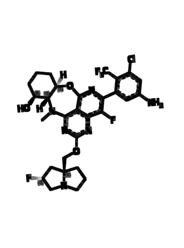 CN1c2nc(OC[C@@]34CCCN3C[C@H](F)C4)nc3c(F)c(-c4cc(N)cc(Cl)c4C(F)(F)F)nc(c23)O[C@@H]2CCC[C@H](O)[C@H]21